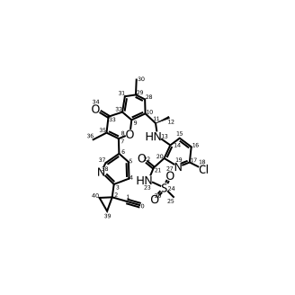 C#CC1(c2ccc(-c3oc4c([C@@H](C)Nc5ccc(Cl)nc5C(=O)NS(C)(=O)=O)cc(C)cc4c(=O)c3C)cn2)CC1